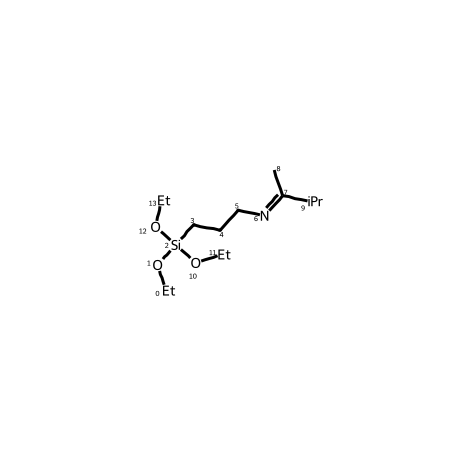 CCO[Si](CCCN=C(C)C(C)C)(OCC)OCC